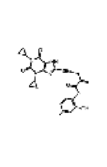 C=C(CC#Cc1nc2c([nH]1)c(=O)n(C1CC1)c(=O)n2C1CC1)C(=O)Oc1ccc(F)cc1O